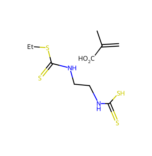 C=C(C)C(=O)O.CCSC(=S)NCCNC(=S)S